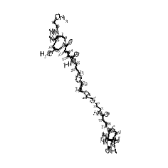 CCCn1nnc2c1CCN(C(=O)CCCC(=O)NCCCOCCOCCOCCCNC(=O)CCC[C@@H]1SC[C@@H]3NC(=O)N[C@@H]31)C[C@H](OC)C2